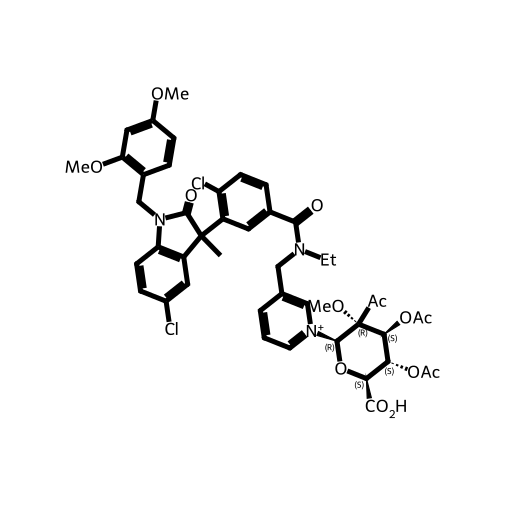 CCN(Cc1ccc[n+]([C@@H]2O[C@H](C(=O)O)[C@@H](OC(C)=O)[C@H](OC(C)=O)[C@]2(OC)C(C)=O)c1)C(=O)c1ccc(Cl)c(C2(C)C(=O)N(Cc3ccc(OC)cc3OC)c3ccc(Cl)cc32)c1